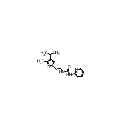 Cc1nn(CCNC(=O)Nc2ccccn2)cc1C(C)C